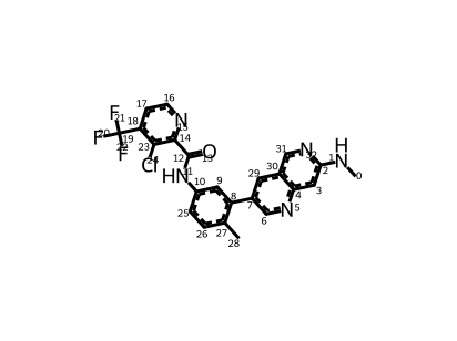 CNc1cc2ncc(-c3cc(NC(=O)c4nccc(C(F)(F)F)c4Cl)ccc3C)cc2cn1